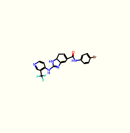 O=C(Nc1ccc(Br)cc1)C1=CCC2NC(Nc3ccncc3C(F)(F)F)=NC2=C1